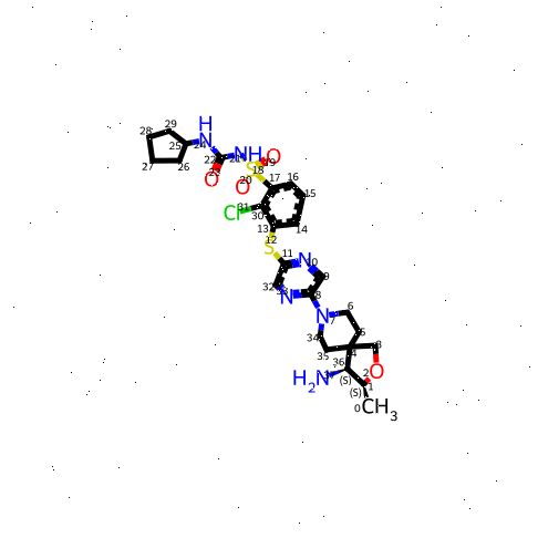 C[C@@H]1OCC2(CCN(c3cnc(Sc4cccc(S(=O)(=O)NC(=O)NC5CCCC5)c4Cl)cn3)CC2)[C@@H]1N